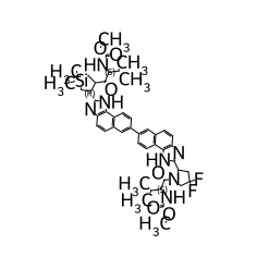 COC(=O)N[C@H](C(=O)C1C[Si](C)(C)C[C@H]1c1nc2ccc3cc(-c4ccc5c(ccc6nc(C7CC(F)(F)CN7C(=O)[C@@H](NC(=O)OC)C(C)C)[nH]c65)c4)ccc3c2[nH]1)C(C)C